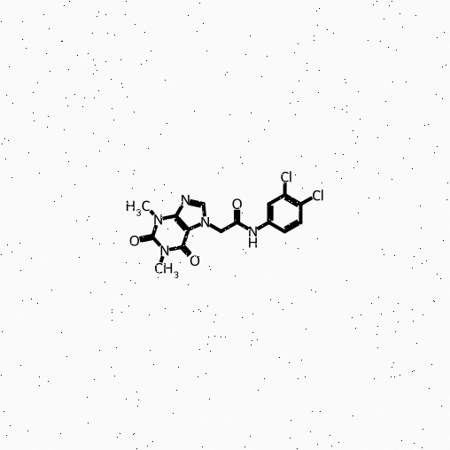 Cn1c(=O)c2c(ncn2CC(=O)Nc2ccc(Cl)c(Cl)c2)n(C)c1=O